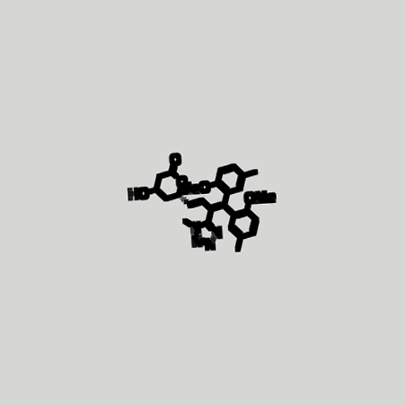 COc1ccc(C)cc1C(=C(/C=C/[C@@H]1C[C@@H](O)CC(=O)O1)c1nnnn1C)c1cc(C)ccc1OC